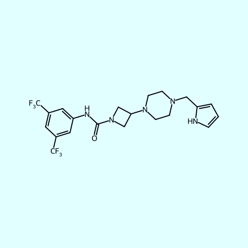 O=C(Nc1cc(C(F)(F)F)cc(C(F)(F)F)c1)N1CC(N2CCN(Cc3ccc[nH]3)CC2)C1